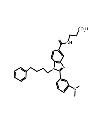 CN(C)c1cccc(-c2nc3cc(C(=O)NCCC(=O)O)ccc3n2CCCCc2ccccc2)c1